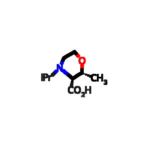 CC(C)N1CCO[C@H](C)[C@H]1C(=O)O